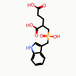 O=C(O)CCC(CP(=O)(O)Cc1c[nH]c2ccccc12)C(=O)O